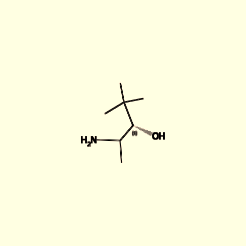 CC(N)[C@@H](O)C(C)(C)C